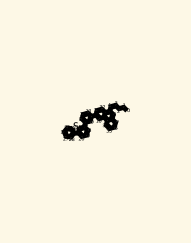 CCC/C=C\c1cc2c(c3cc(-c4cccc(-c5cccc6c5sc5ccccc56)c4)ccc13)C=CCC2